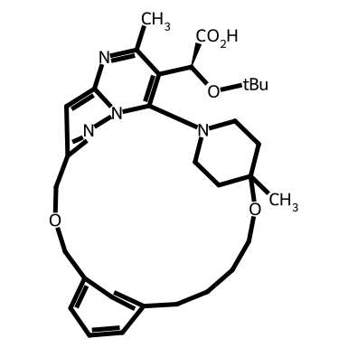 Cc1nc2cc3nn2c(c1[C@H](OC(C)(C)C)C(=O)O)N1CCC(C)(CC1)OCCCCc1cccc(c1)COC3